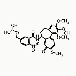 COc1cc2c(c(OC)c1OC)-c1ccc(SC)c(=O)cc1[C@@H](NC(=O)c1cc(CON(O)O)ccc1[N+](=O)[O-])CC2